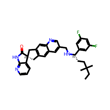 CCC(C)(C)CC[C@H](NCc1cnc2cc3c(cc2c1)C[C@@]1(C3)C(=O)Nc2ncccc21)c1cc(F)cc(F)c1